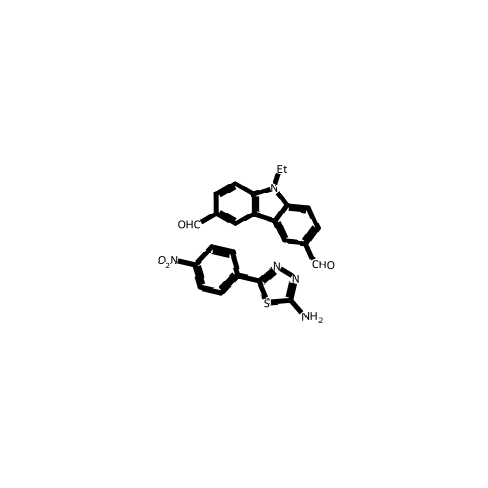 CCn1c2ccc(C=O)cc2c2cc(C=O)ccc21.Nc1nnc(-c2ccc([N+](=O)[O-])cc2)s1